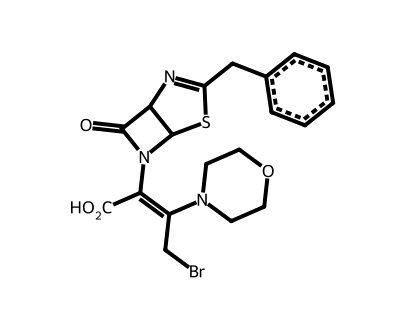 O=C(O)C(=C(CBr)N1CCOCC1)N1C(=O)C2N=C(Cc3ccccc3)SC21